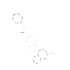 Cc1ccc(NC(=O)N2CCN(c3nc(N)nc4scnc34)CC2)cc1